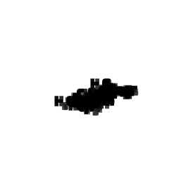 C=C(/C=C(C)\C(F)=C(/F)[C@H](CC(=O)O)NC(=O)[C@H](CC(C)C)n1nc(CCN2CC(F)C2)cc(C)c1=O)c1c(C)cc(C)cc1C